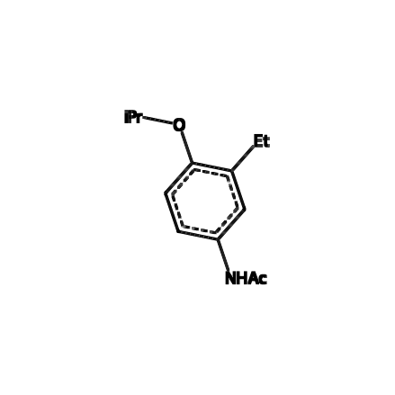 CCc1cc(NC(C)=O)ccc1OC(C)C